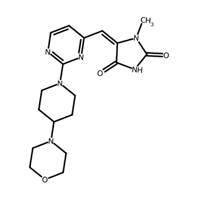 CN1C(=O)NC(=O)/C1=C\c1ccnc(N2CCC(N3CCOCC3)CC2)n1